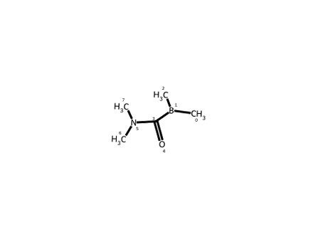 CB(C)C(=O)N(C)C